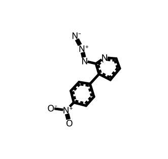 [N-]=[N+]=Nc1ncccc1-c1ccc([N+](=O)[O-])cc1